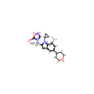 C[C@H]1C[C@]1(c1noc(=O)[nH]1)n1c(C(=O)O)cc2cc(C3CCOCC3)cc(F)c21